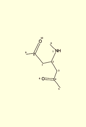 CNC(CC(C)=O)CC(C)=O